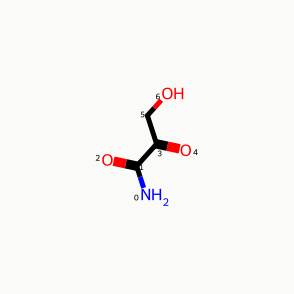 NC(=O)C(=O)CO